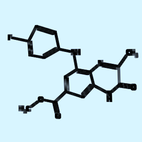 COC(=O)c1cc(Nc2ccc(F)cc2)c2nc(C)c(=O)[nH]c2c1